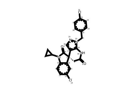 O=C1C[C@]2(C(=O)N(C3CC3)c3ccc(Cl)cc32)c2cnn(Cc3ccc(Cl)cc3)c2N1